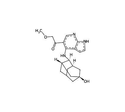 COCC(=O)c1cnc2[nH]ccc2c1N[C@H]1[C@@H]2CC3C[C@H]1C[C@@](O)(C3)C2